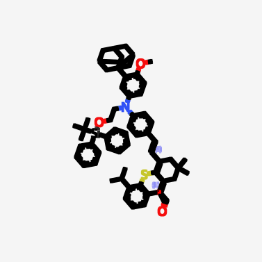 COc1ccc(N(CCO[Si](c2ccccc2)(c2ccccc2)C(C)(C)C)c2ccc(/C=C/C3=C(Sc4c(C(C)C)cccc4C(C)C)C(=C/C=O)/CC(C)(C)C3)cc2)cc1C12CC3CC(CC(C3)C1)C2